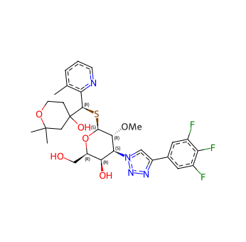 CO[C@@H]1[C@@H](n2cc(-c3cc(F)c(F)c(F)c3)nn2)[C@@H](O)[C@@H](CO)O[C@H]1S[C@H](c1ncccc1C)C1(O)CCOC(C)(C)C1